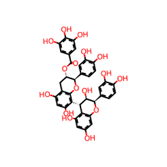 O=C(O[C@H]1Cc2c(O)cc(O)c([C@H]3c4c(O)cc(O)cc4O[C@H](c4ccc(O)c(O)c4)[C@@H]3O)c2O[C@@H]1c1ccc(O)c(O)c1)c1cc(O)c(O)c(O)c1